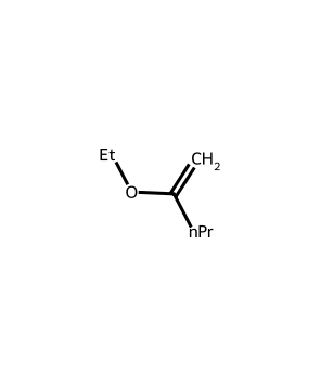 C=C(CCC)OCC